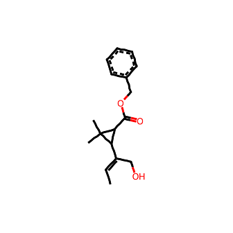 CC=C(CO)C1C(C(=O)OCc2ccccc2)C1(C)C